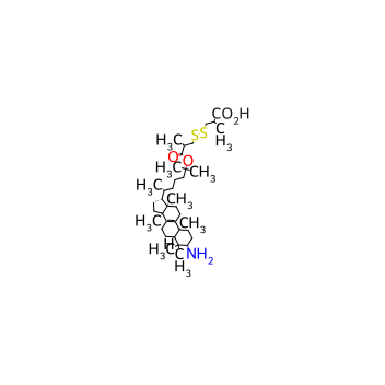 CC(CSSCC(C)C(=O)OC(C)(C)CCC[C@@H](C)[C@H]1CC[C@@]2(C)C3=C(CC[C@]12C)[C@@]1(C)CCC(N)C(C)(C)[C@@H]1CC3)C(=O)O